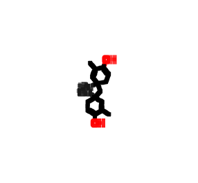 CC1=CC(CC2(C(C)(C)C)C=C(C)C(O)=CC2)(C(C)(C)C)CC=C1O